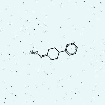 CON=C1CCC(c2ccccc2)CC1